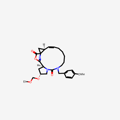 CCOCO[C@@H]1C[C@H]2C3=NC4(C[C@H]4/C=C\CCCCCN(Cc4ccc(OC)cc4)C(=O)N2C1)C(=O)O3